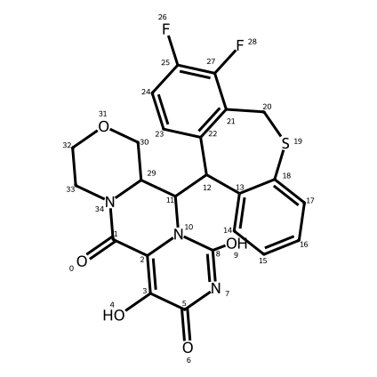 O=C1c2c(O)c(=O)nc(O)n2C(C2c3ccccc3SCc3c2ccc(F)c3F)C2COCCN12